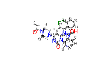 C=CC(=O)N1[C@H](C)CN(c2nc(=O)n([C@@H](/C(C)=C\C)[C@@H](N=C)C(C)C)c3nc(-c4c(O)cccc4F)c(F)cc23)C[C@@H]1C